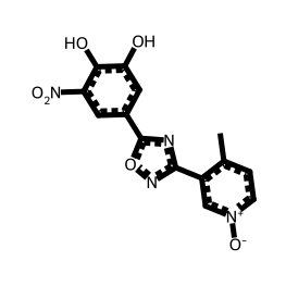 Cc1cc[n+]([O-])cc1-c1noc(-c2cc(O)c(O)c([N+](=O)[O-])c2)n1